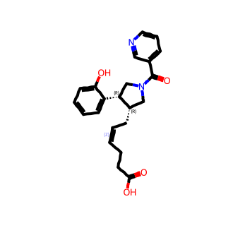 O=C(O)CC/C=C\C[C@H]1CN(C(=O)c2cccnc2)C[C@H]1c1ccccc1O